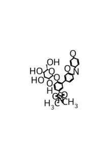 CN(C)S(=O)(=O)c1ccc(O[C@@H]2O[C@H](CO)[C@H](O)[C@H](O)[C@H]2O)c(-c2ccc3nc4ccc(=O)cc-4oc3c2)c1